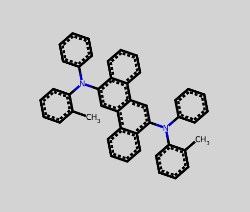 Cc1ccccc1N(c1ccccc1)c1cc2c3ccccc3c(N(c3ccccc3)c3ccccc3C)cc2c2ccccc12